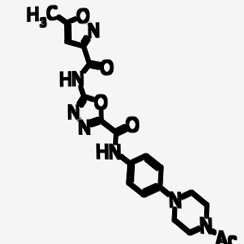 CC(=O)N1CCN(c2ccc(NC(=O)c3nnc(NC(=O)c4cc(C)on4)o3)cc2)CC1